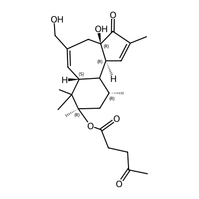 CC(=O)CCC(=O)O[C@]1(C)C[C@@H](C)C2[C@@H](C=C(CO)C[C@]3(O)C(=O)C(C)=C[C@@H]23)C1(C)C